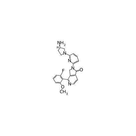 COc1cccc(F)c1-c1nccc2c1CN(c1cccc(N3CC[C@@H](N)C3)n1)C2=O